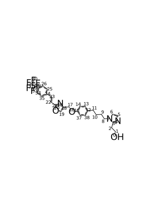 OCCc1nccn1CCCCc1ccc(OCc2coc(C=Cc3ccc(S(F)(F)(F)(F)F)cc3)n2)cc1